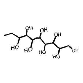 CCC(O)C(O)C(O)C(O)C(O)C(O)C(O)CO